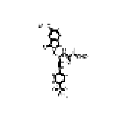 COc1ccc2c(c1)C(=O)N(C[C@@H](C#Cc1ccc(S(C)(=O)=O)cc1)NC(=O)NC=O)C2